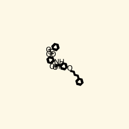 O=C(Nc1cc(OS(=O)(=O)c2ccccc2)ccc1O)c1ccc(OCCCCc2ccccc2)cc1